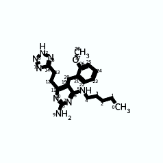 CCCCCNc1nc(N)nc(CCc2nn[nH]n2)c1Cc1ccccc1OC